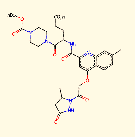 CCCCOC(=O)N1CCN(C(=O)[C@H](CCC(=O)O)NC(=O)c2cc(OCC(=O)N3NC(=O)CC3C)c3ccc(C)cc3n2)CC1